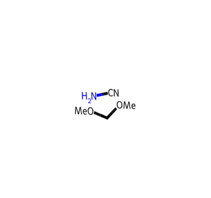 COCOC.N#CN